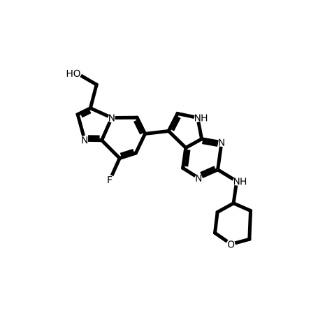 OCc1cnc2c(F)cc(-c3c[nH]c4nc(NC5CCOCC5)ncc34)cn12